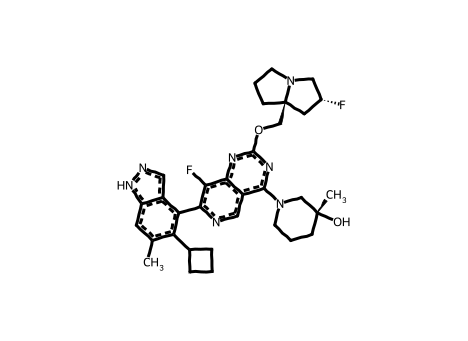 Cc1cc2[nH]ncc2c(-c2ncc3c(N4CCC[C@@](C)(O)C4)nc(OC[C@@]45CCCN4C[C@H](F)C5)nc3c2F)c1C1CCC1